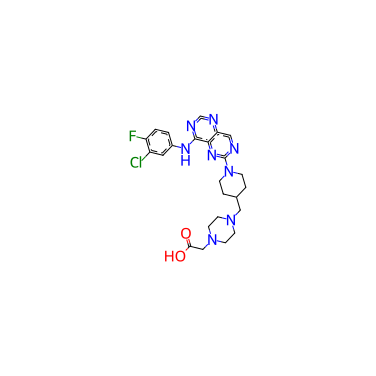 O=C(O)CN1CCN(CC2CCN(c3ncc4ncnc(Nc5ccc(F)c(Cl)c5)c4n3)CC2)CC1